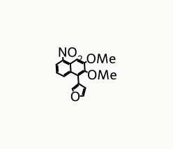 COc1cc2c([N+](=O)[O-])cccc2c(-c2ccoc2)c1OC